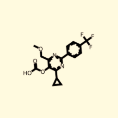 COCc1nc(-c2ccc(C(F)(F)F)cc2)nc(C2CC2)c1OC(=O)O